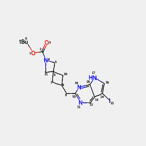 CC(C)(C)OC(=O)N1CC2(CC(Cc3ncc4c(I)c[nH]c4n3)C2)C1